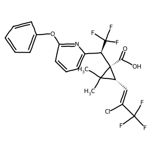 CC1(C)[C@@H](C=C(Cl)C(F)(F)F)[C@]1(C(=O)O)[C@@H](c1cccc(Oc2ccccc2)n1)C(F)(F)F